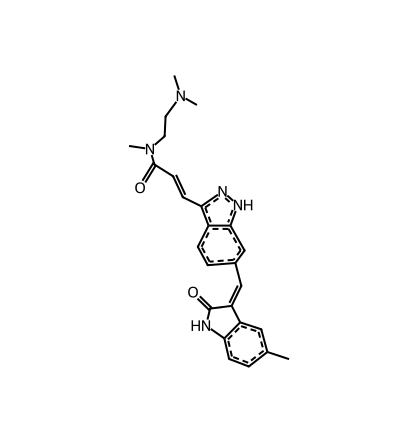 Cc1ccc2c(c1)C(=Cc1ccc3c(C=CC(=O)N(C)CCN(C)C)n[nH]c3c1)C(=O)N2